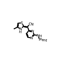 CCCC(C)Nc1nccc(C(C#N)=C2NC(C)=CS2)n1